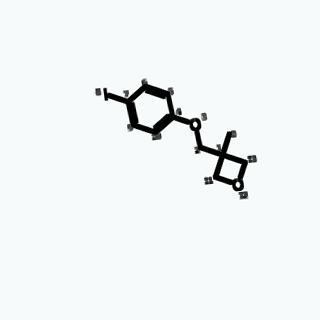 CC1(COc2ccc(I)cc2)COC1